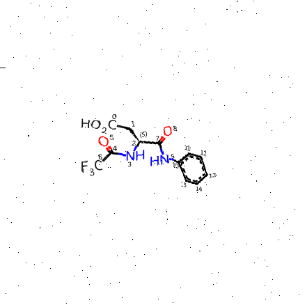 O=C(O)C[C@H](NC(=O)C(F)(F)F)C(=O)Nc1ccccc1